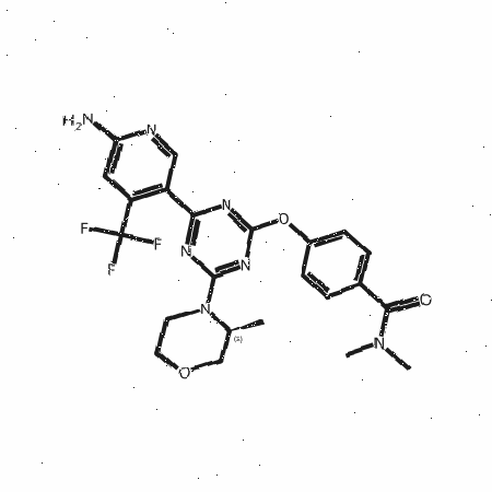 C[C@H]1COCCN1c1nc(Oc2ccc(C(=O)N(C)C)cc2)nc(-c2cnc(N)cc2C(F)(F)F)n1